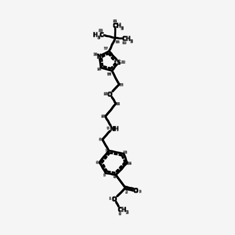 COC(=O)c1ccc(CNCCOCc2cnc(C(C)(C)C)s2)cc1